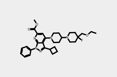 CCOCC1(F)CCN(C2CCN(c3cc(C(=O)OC)nc4c3c(C3CCC3)nn4-c3ccccc3)CC2)CC1